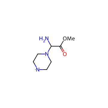 COC(=O)C(N)N1CC[N]CC1